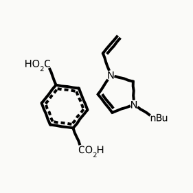 C=CN1C=CN(CCCC)C1.O=C(O)c1ccc(C(=O)O)cc1